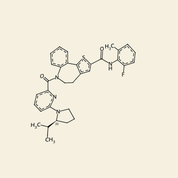 Cc1cccc(F)c1NC(=O)c1cc2c(s1)-c1ccccc1N(C(=O)c1cccc(N3CCC[C@H]3C(C)C)n1)CC2